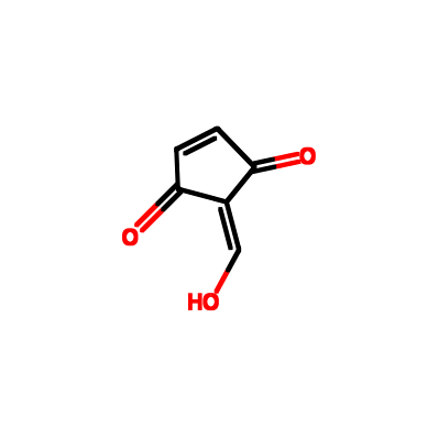 O=C1C=CC(=O)C1=CO